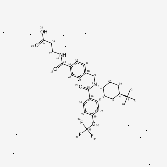 CC(C)(C)[C@H]1CC[C@H](N(Cc2ccc(C(=O)NCCC(=O)O)cc2)C(=O)c2ccc(OC(F)(F)F)cc2)CC1